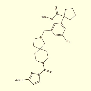 CC(=O)Nc1ccn(C(=O)N2CCC3(CCN(Cc4cc(C(F)(F)F)cc(C5(C(=O)OC(C)(C)C)CCCC5)c4)C3)CC2)n1